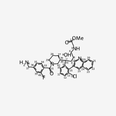 COC(=O)NCCC[C@@](O)(c1cccc(Cl)c1-c1cnc2ccccc2c1)[C@@H]1CCCN(C(=O)c2ccc(CN)cc2F)C1